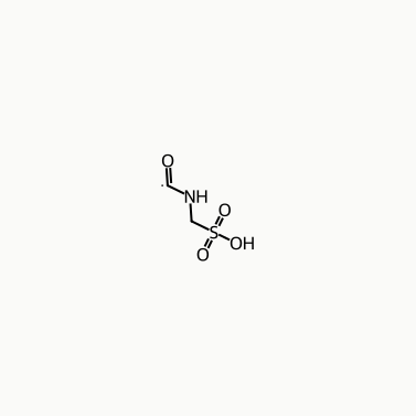 O=[C]NCS(=O)(=O)O